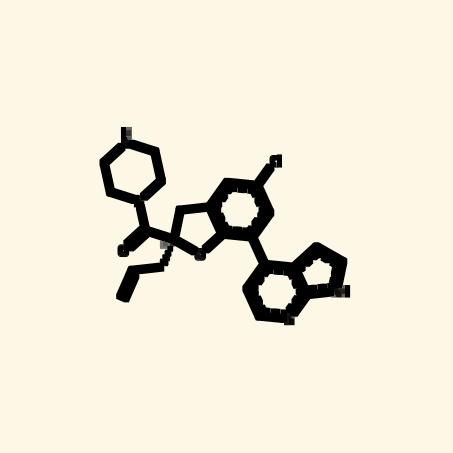 C=CC[C@]1(C(=O)N2CCNCC2)Cc2cc(Cl)cc(-c3ccnc4[nH]ccc34)c2O1